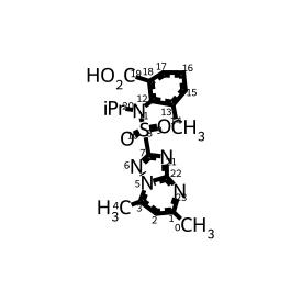 Cc1cc(C)n2nc(S(=O)(=O)N(c3c(C)cccc3C(=O)O)C(C)C)nc2n1